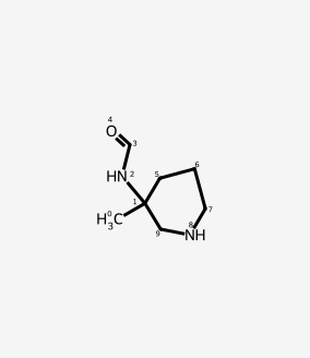 CC1(NC=O)CCCNC1